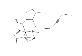 CC(C)C1=CC2CC3(C=O)C4CCC(C)C4CC2(COCC#CCO)C13C(=O)O